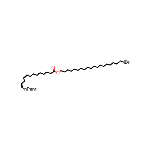 CCCCC/C=C\C/C=C\CCCCCCCC(=O)OCCCCCCCCCCCCCCCCCCCC(C)CC